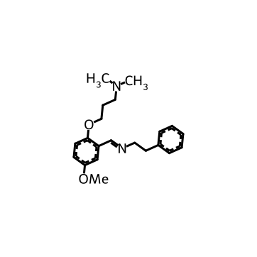 COc1ccc(OCCCN(C)C)c(C=NCCc2ccccc2)c1